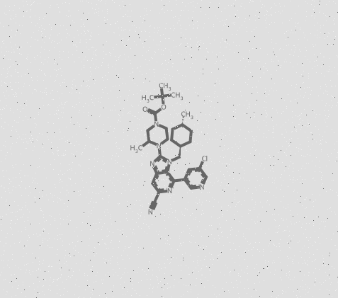 CC1CN(C(=O)OC(C)(C)C)CCN1c1nc2cc(C#N)nc(-c3cncc(Cl)c3)c2n1C[C@H]1CC[C@H](C)CC1